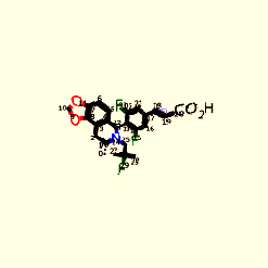 C[C@@H]1Cc2c(ccc3c2OCO3)[C@@H](c2c(F)cc(/C=C/C(=O)O)cc2F)N1CC(C)(C)F